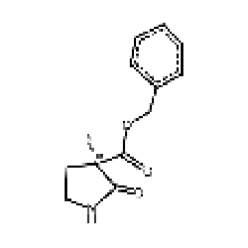 C[C@@]1(C(=O)OCc2ccccc2)CCNC1=O